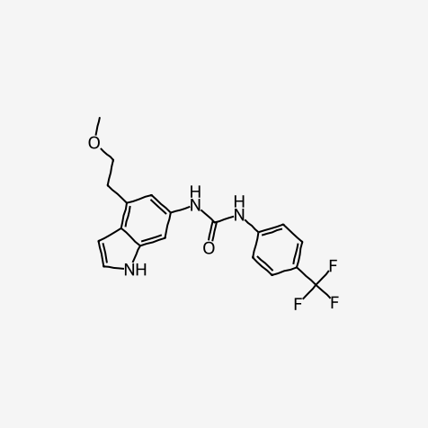 COCCc1cc(NC(=O)Nc2ccc(C(F)(F)F)cc2)cc2[nH]ccc12